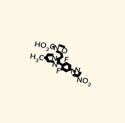 Cc1ccn2c(CC3CN(C(=O)O)CCO3)c(-c3c(F)cc(-n4cc([N+](=O)[O-])cn4)cc3F)nc2c1